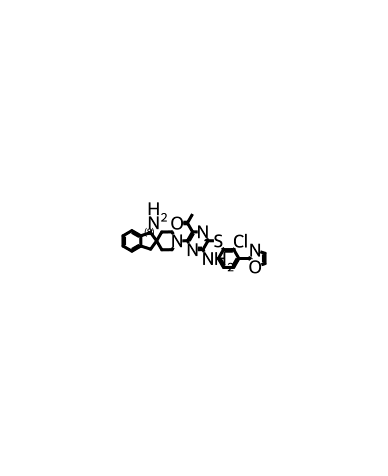 CC(=O)c1nc(Sc2cccc(-c3ncco3)c2Cl)c(N)nc1N1CCC2(CC1)Cc1ccccc1[C@H]2N